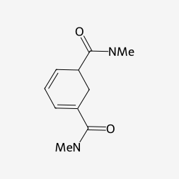 CNC(=O)C1=CC=CC(C(=O)NC)C1